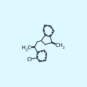 C=C(CC1CC(=C)c2ccccc21)c1ccccc1Cl